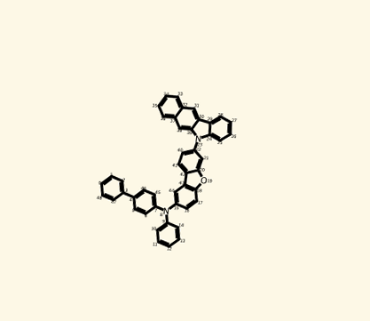 c1ccc(-c2ccc(N(c3ccccc3)c3ccc4oc5cc(-n6c7ccccc7c7cc8ccccc8cc76)ccc5c4c3)cc2)cc1